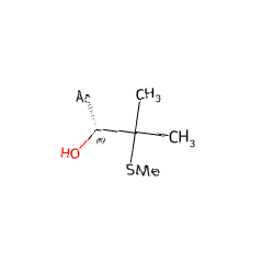 CSC(C)(C)[C@H](O)C(C)=O